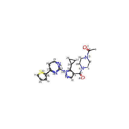 CC(=O)N1CCN(C(=O)c2cnn(-c3nccc(-c4cccs4)n3)c2C2CC2)CC1